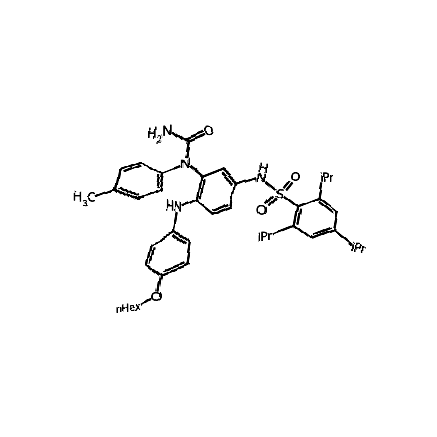 CCCCCCOc1ccc(Nc2ccc(NS(=O)(=O)c3c(C(C)C)cc(C(C)C)cc3C(C)C)cc2N(C(N)=O)c2ccc(C)cc2)cc1